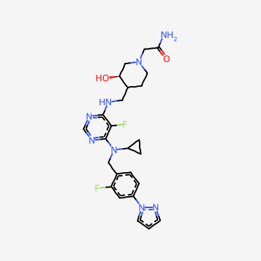 NC(=O)CN1CCC(CNc2ncnc(N(Cc3ccc(-n4cccn4)cc3F)C3CC3)c2F)[C@@H](O)C1